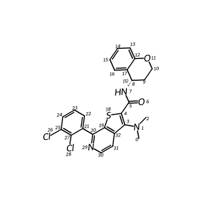 CN(C)c1c(C(=O)N[C@H]2CCOc3ccccc32)sc2c(-c3cccc(Cl)c3Cl)nccc12